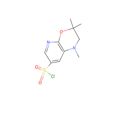 CN1CC(C)(C)Oc2ncc(S(=O)(=O)Cl)cc21